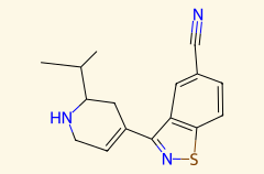 CC(C)C1CC(c2nsc3ccc(C#N)cc23)=CCN1